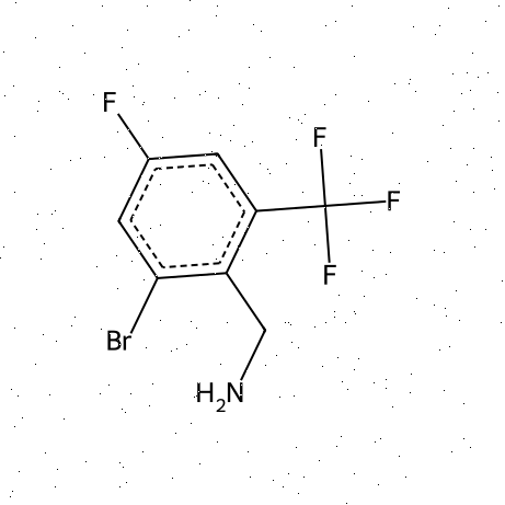 NCc1c(Br)cc(F)cc1C(F)(F)F